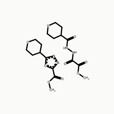 COC(=O)C(=O)NNC(=O)C1CCOCC1.COC(=O)c1nnc(C2CCOCC2)o1